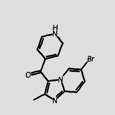 Cc1nc2ccc(Br)cn2c1C(=O)C1=CCNC=C1